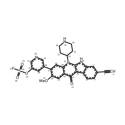 C#Cc1ccc2c(c1)[nH]c1c2c(=O)c2cc(OC)c(-c3cncc(OS(=O)(=O)F)c3)cc2n1C1CCNCC1